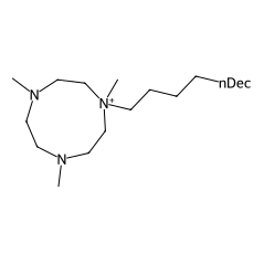 CCCCCCCCCCCCCC[N+]1(C)CCN(C)CCN(C)CC1